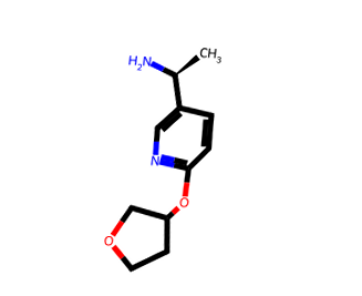 C[C@H](N)c1ccc(OC2CCOC2)nc1